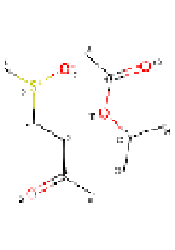 CC(=O)CC[S+](C)[O-].CC(=O)OC(C)C